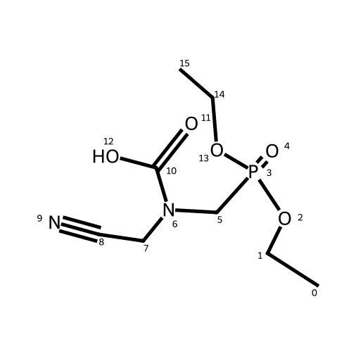 CCOP(=O)(CN(CC#N)C(=O)O)OCC